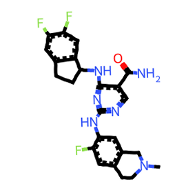 CN1CCc2cc(F)c(Nc3ncc(C(N)=O)c(NC4CCc5cc(F)c(F)cc54)n3)cc2C1